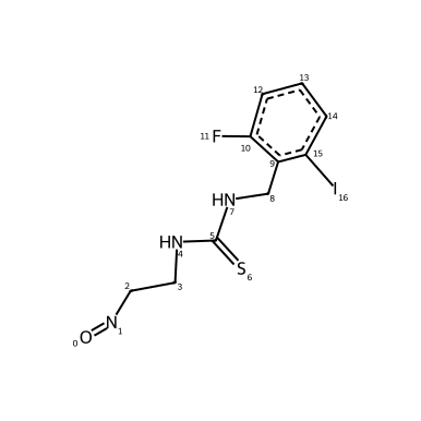 O=NCCNC(=S)NCc1c(F)cccc1I